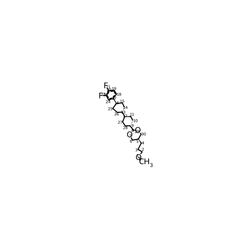 COCCC[C@H]1CO[C@H]([C@H]2CC[C@H]([C@H]3CC[C@H](c4ccc(F)c(F)c4)CC3)CC2)OC1